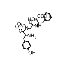 NC(Cc1ccc(O)cc1)C(=O)N(CC(=O)N[C@@H](Cc1ccccc1)[C@@H](O)C(=O)O)C[C@H]1CO1